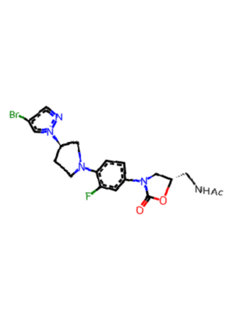 CC(=O)NC[C@H]1CN(c2ccc(N3CC[C@@H](n4cc(Br)cn4)C3)c(F)c2)C(=O)O1